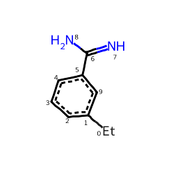 CCc1cccc(C(=N)N)c1